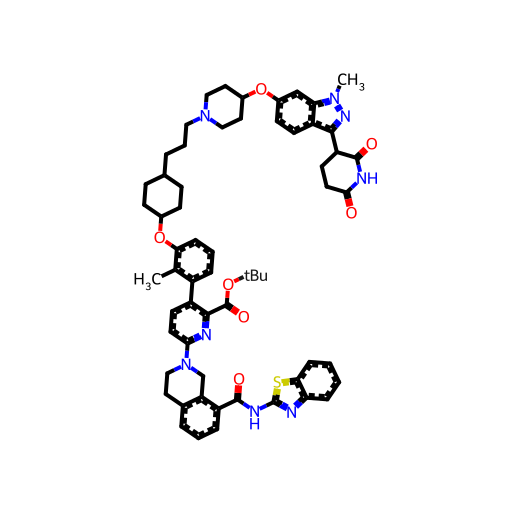 Cc1c(OC2CCC(CCCN3CCC(Oc4ccc5c(C6CCC(=O)NC6=O)nn(C)c5c4)CC3)CC2)cccc1-c1ccc(N2CCc3cccc(C(=O)Nc4nc5ccccc5s4)c3C2)nc1C(=O)OC(C)(C)C